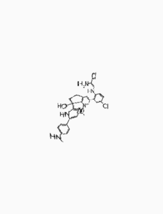 CNc1ccc(-c2cnc(C3(O)CCc4cc(-c5cc(Cl)ccc5N/C=C(\N)Cl)c[n+](OC)c43)[nH]2)cc1